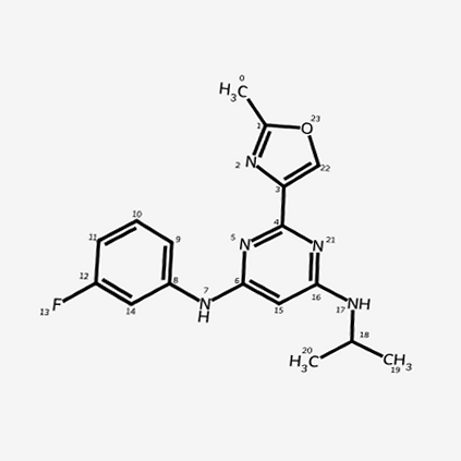 Cc1nc(-c2nc(Nc3cccc(F)c3)cc(NC(C)C)n2)co1